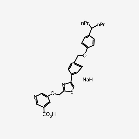 CCCC(CCC)c1ccc(OCc2ccc(-c3csc(COc4cncc(C(=O)O)c4)n3)cc2)cc1.[NaH]